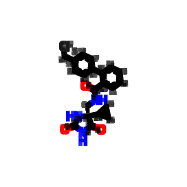 O=C1NC(=O)[C@](CNC(=O)c2ccccc2-c2ccc(CC(F)(F)F)cc2)(C2CC2)N1